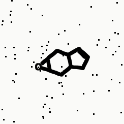 C1=CC2CC3OC3CC2C1